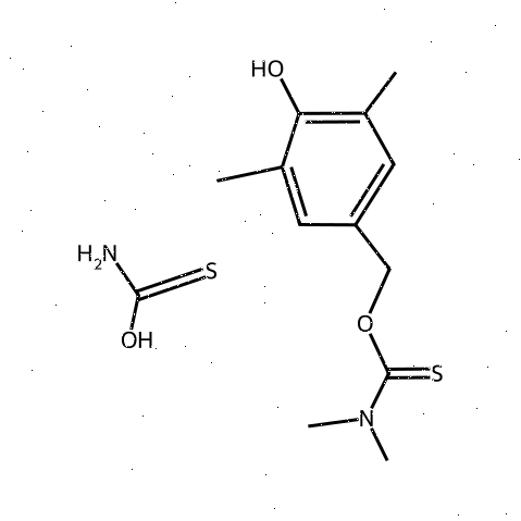 Cc1cc(COC(=S)N(C)C)cc(C)c1O.NC(O)=S